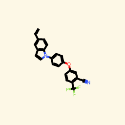 C=Cc1ccc2c(ccn2-c2ccc(Oc3ccc(C(F)(F)F)c(C#N)c3)cc2)c1